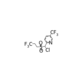 O=S(=O)(CCC(F)(F)F)C(Cl)c1ccc(C(F)(F)F)cn1